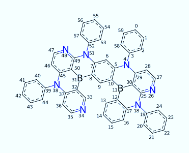 c1ccc(N2c3cc4c(cc3B3c5ccccc5N(c5ccccc5)c5nccc2c53)B2c3cnccc3N(c3ccccc3)c3ccnc(c32)N4c2ccccc2)cc1